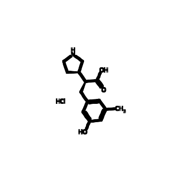 Cc1cc(O)cc(C[C@H](C(=O)O)[C@H]2CCNC2)c1.Cl